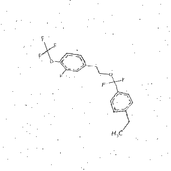 CCc1ccc(C(F)(F)OCCc2ccc(OC(F)(F)F)c(F)c2)cc1